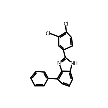 Clc1ccc(-c2nc3c(-c4ccccc4)cccc3[nH]2)cc1Cl